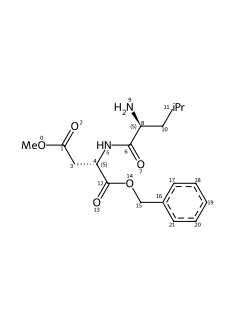 COC(=O)C[C@H](NC(=O)[C@@H](N)CC(C)C)C(=O)OCc1ccccc1